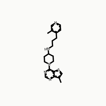 Cc1cnccc1CCCNC1CCN(c2ncnc3c(C)csc23)CC1